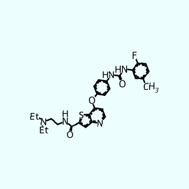 CCN(CC)CCNC(=O)c1cc2nccc(Oc3ccc(NC(=O)Nc4cc(C)ccc4F)cc3)c2s1